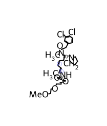 C=C(/C=C\C=C(/C)NS(=O)(=O)CCOCCOC)[C@@H](CN1CCCC1)N(C)C(=O)Cc1ccc(Cl)c(Cl)c1